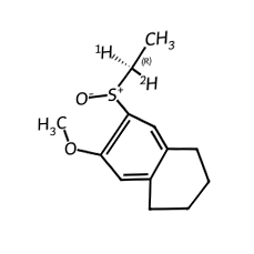 [1H][C@@]([2H])(C)[S+]([O-])c1cc2c(cc1OC)CCCC2